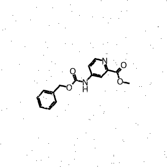 COC(=O)c1cc(NC(=O)OCc2ccccc2)ccn1